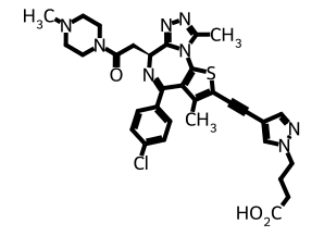 Cc1c(C#Cc2cnn(CCCC(=O)O)c2)sc2c1C(c1ccc(Cl)cc1)=N[C@@H](CC(=O)N1CCN(C)CC1)c1nnc(C)n1-2